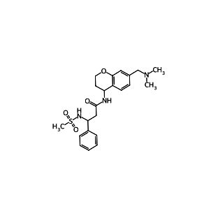 CN(C)Cc1ccc2c(c1)OCCC2NC(=O)CC(NS(C)(=O)=O)c1ccccc1